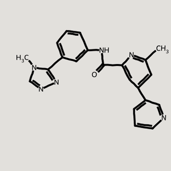 Cc1cc(-c2cccnc2)cc(C(=O)Nc2cccc(-c3nncn3C)c2)n1